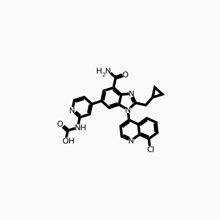 NC(=O)c1cc(-c2ccnc(NC(=O)O)c2)cc2c1nc(CC1CC1)n2-c1ccnc2c(Cl)cccc12